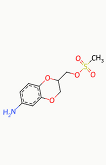 CS(=O)(=O)OCC1COc2cc(N)ccc2O1